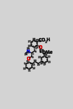 CCOc1c(CC(COc2ccccc2CCc2cccc(OC)c2)N(C)C)cccc1C(=O)O